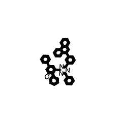 c1ccc(-c2cc(-c3nc(-c4ccccc4)nc(-c4cccc(-c5cc6ccccc6c6ccccc56)c4)n3)c3c(c2)oc2ccccc23)cc1